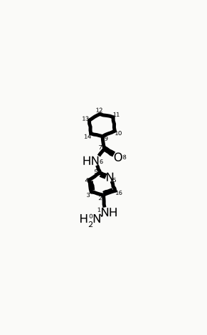 NNc1ccc(NC(=O)C2CCCCC2)nc1